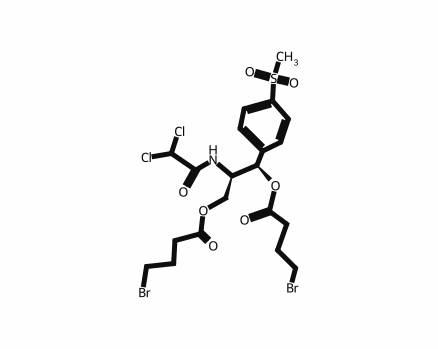 CS(=O)(=O)c1ccc([C@@H](OC(=O)CCCBr)[C@@H](COC(=O)CCCBr)NC(=O)C(Cl)Cl)cc1